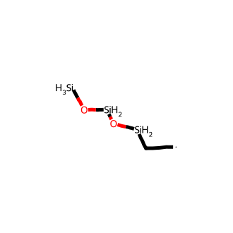 [CH2]C[SiH2]O[SiH2]O[SiH3]